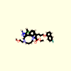 CCOC(=O)c1c(CCCOc2cccc3cc(F)ccc23)c2ccc(Cl)c3c2n1CCCCN(CCOC)Cc1nn(C)c(CC)c1-3